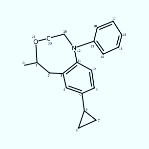 CC1Cc2cc(C3CC3)ccc2N(c2ccccc2)CCO1